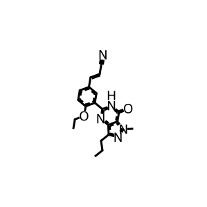 CCCc1nn(C)c2c(=O)[nH]c(-c3cc(C=CC#N)ccc3OCC)nc12